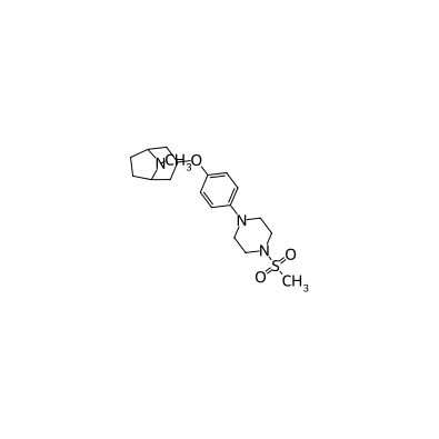 CN1C2CCC1CC(Oc1ccc(N3CCN(S(C)(=O)=O)CC3)cc1)C2